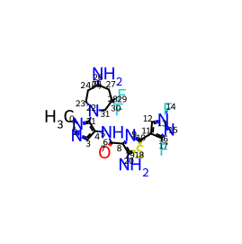 Cn1ncc(NC(=O)c2nc(-c3cn(F)nc3F)sc2N)c1N1CC[C@@H](N)CC(F)(F)C1